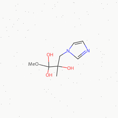 COC(O)(O)C(C)(O)Cn1ccnc1